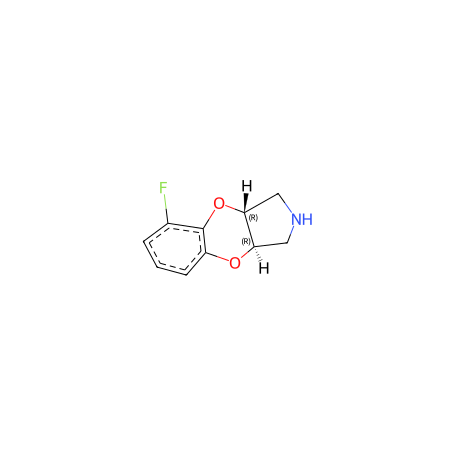 Fc1cccc2c1O[C@@H]1CNC[C@H]1O2